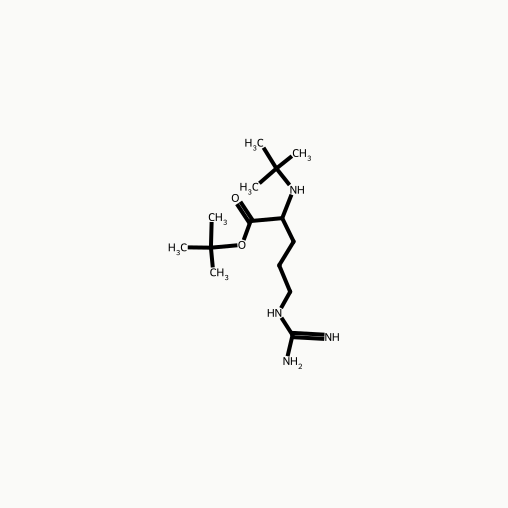 CC(C)(C)NC(CCCNC(=N)N)C(=O)OC(C)(C)C